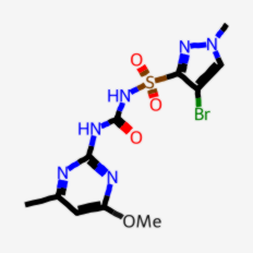 COc1cc(C)nc(NC(=O)NS(=O)(=O)c2nn(C)cc2Br)n1